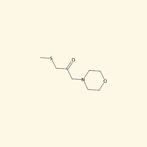 CSCC(=O)CN1CCOCC1